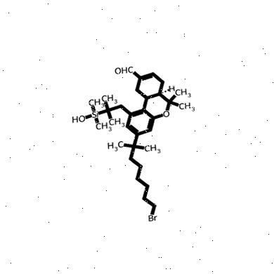 CC(C)(CCCCCCBr)c1cc(CC(C)(C)[Si](C)(C)O)c2c(c1)OC(C)(C)[C@@H]1CC=C(C=O)CC21